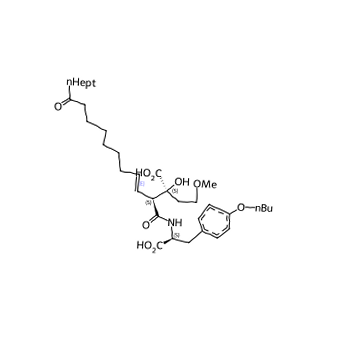 CCCCCCCC(=O)CCCCCC/C=C/[C@H](C(=O)N[C@@H](Cc1ccc(OCCCC)cc1)C(=O)O)[C@@](O)(CCOC)C(=O)O